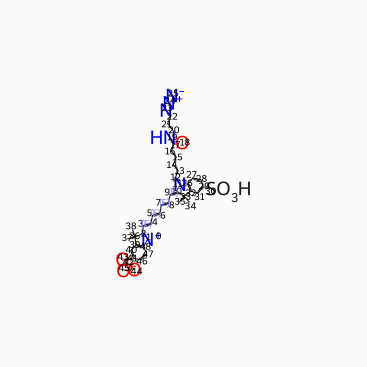 C[N+]1=C(/C=C/C=C/C=C/C=C2/N(CCCCCC(=O)NCCCN=[N+]=[N-])c3ccc(S(=O)(=O)O)cc3C2(C)C)C(C)(C)c2cc(S(=O)(=O)[O-])ccc21